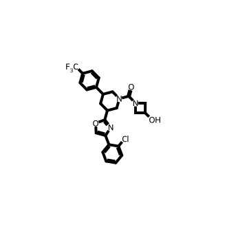 O=C(N1CC(O)C1)N1CC(c2ccc(C(F)(F)F)cc2)CC(c2nc(-c3ccccc3Cl)co2)C1